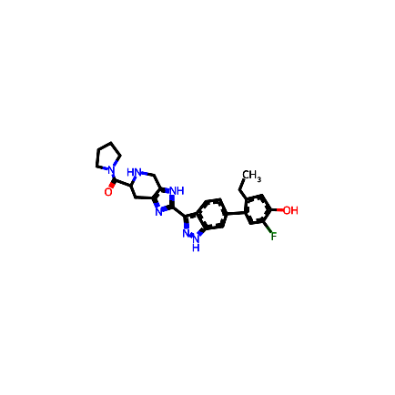 CCc1cc(O)c(F)cc1-c1ccc2c(-c3nc4c([nH]3)CNC(C(=O)N3CCCC3)C4)n[nH]c2c1